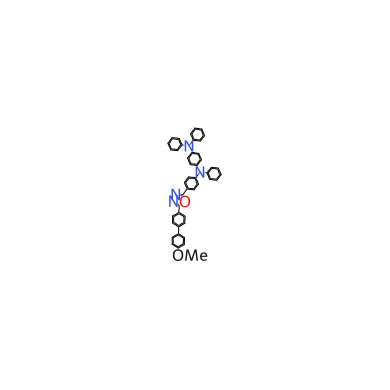 COc1ccc(-c2ccc(-c3nnc(-c4ccc(N(c5ccccc5)c5ccc(N(c6ccccc6)c6ccccc6)cc5)cc4)o3)cc2)cc1